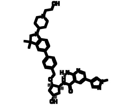 Cn1cc(-c2cnc(N)c(C(=O)N[C@H]3C[C@H](O)C[C@@H]3OCc3ccc(-c4ccc5c(c4)C(C)(C)CN5C4CCN(CCO)CC4)cc3)c2)cn1